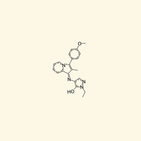 CCn1ncc(/N=C2\C(C)=C(c3ccc(OC)cc3)[n+]3ccccc32)c1O